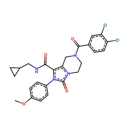 COc1ccc(-n2c(C(=O)NCC3CC3)c3n(c2=O)CCN(C(=O)c2ccc(Cl)c(Cl)c2)C3)cc1